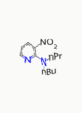 CCCCN(CCC)c1ncccc1[N+](=O)[O-]